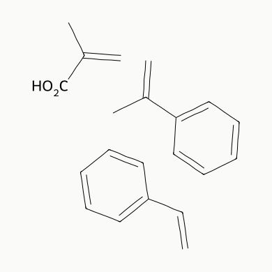 C=C(C)C(=O)O.C=C(C)c1ccccc1.C=Cc1ccccc1